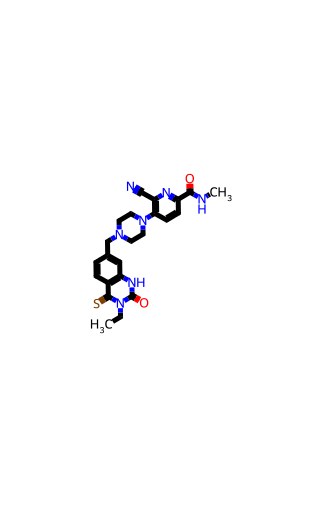 CCn1c(=O)[nH]c2cc(CN3CCN(c4ccc(C(=O)NC)nc4C#N)CC3)ccc2c1=S